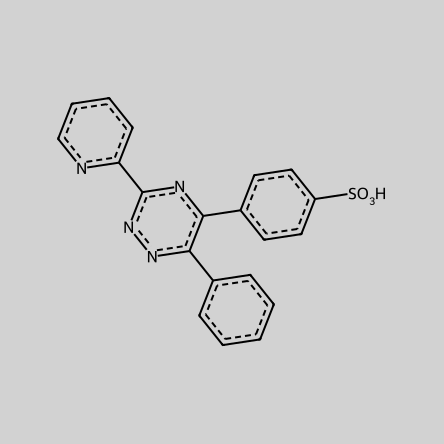 O=S(=O)(O)c1ccc(-c2nc(-c3ccccn3)nnc2-c2ccccc2)cc1